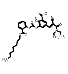 CCCCCCCCOC(=O)c1ccccc1OC(=O)Oc1cc(/C=C(\C#N)C(=O)N(CC)CC)cc([N+](=O)[O-])c1O